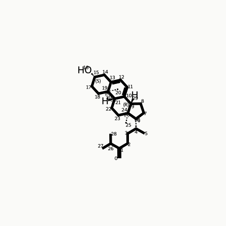 C=C(CCC(C)[C@H]1CC[C@H]2C3=CC=C4C[C@@H](O)CC[C@]4(C)[C@H]3CC[C@]12C)C(C)C